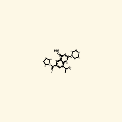 Br.CC(Br)c1cc(C(=O)N2CCCC2)cc2c(=O)cc(N3CCOCC3)oc12